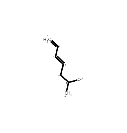 C=CC=CCC(C)[O]